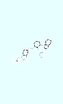 Cc1c(CNc2ccc3c(c2)OC[C@H]3CC(=O)O)cccc1-n1c([C@@H]2CCCO2)nc2ccccc21